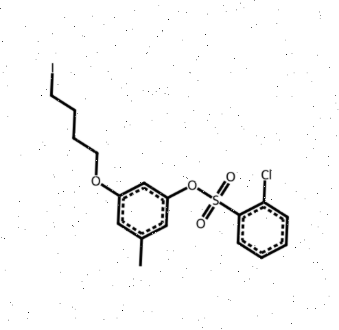 Cc1cc(OCCCCI)cc(OS(=O)(=O)c2ccccc2Cl)c1